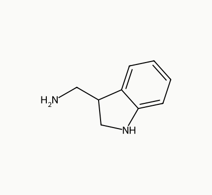 NCC1CNc2ccccc21